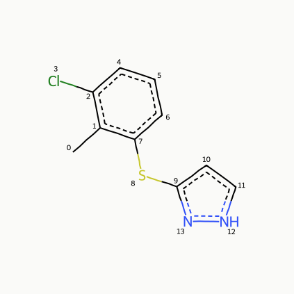 Cc1c(Cl)cccc1Sc1cc[nH]n1